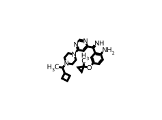 CC(C1CCC1)N1CCN(c2cc(C(=N)c3cc(OC4(C)CC4)ccc3N)ncn2)CC1